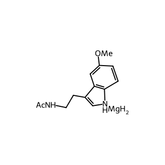 COc1ccc2[nH]cc(CCNC(C)=O)c2c1.[MgH2]